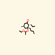 CCCC[C@@]1(OC(C)OCC)C[C@@H](C)CC(=O)[C@@H]1CCC